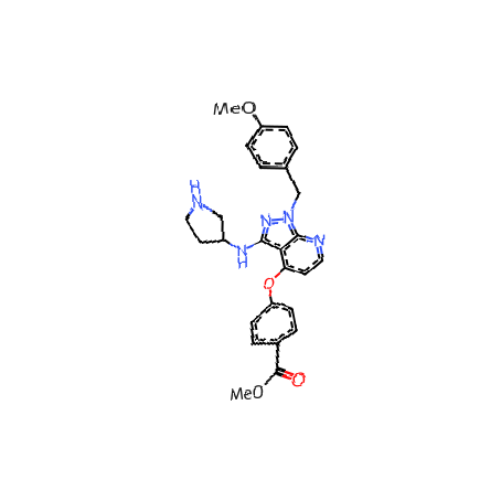 COC(=O)c1ccc(Oc2ccnc3c2c(NC2CCNC2)nn3Cc2ccc(OC)cc2)cc1